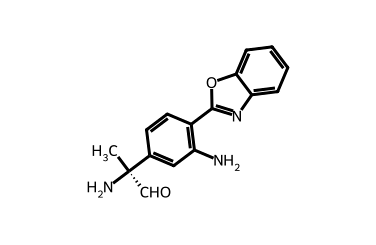 C[C@@](N)(C=O)c1ccc(-c2nc3ccccc3o2)c(N)c1